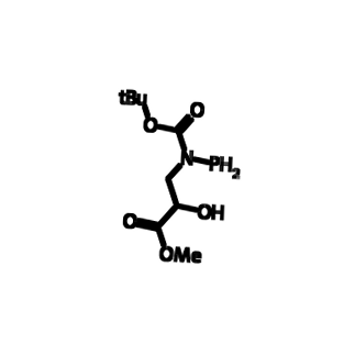 COC(=O)C(O)CN(P)C(=O)OC(C)(C)C